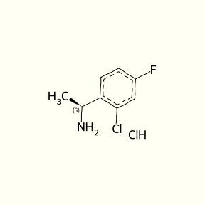 C[C@H](N)c1ccc(F)cc1Cl.Cl